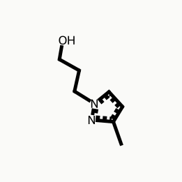 Cc1ccn(CCCO)n1